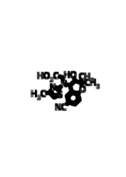 Cc1csc(N(CC(=O)O)C2c3cc(C#N)ccc3OC(C)(C)C2O)n1